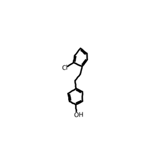 Oc1ccc(CCc2ccccc2Cl)cc1